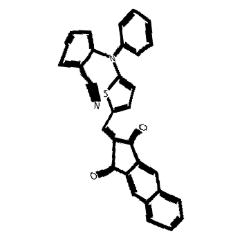 N#Cc1ccccc1N(c1ccccc1)c1ccc(C=C2C(=O)c3cc4ccccc4cc3C2=O)s1